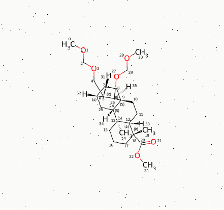 COCOC[C@H]1[C@H]2CC[C@@]3(CC[C@H]4[C@@](C)(CCC[C@@]4(C)C(=O)OC)[C@@H]3C2)[C@@H]1OCOC